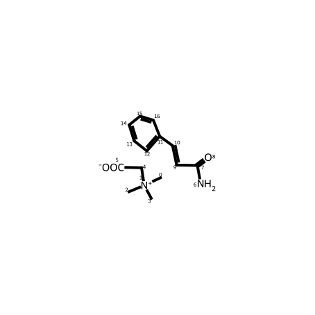 C[N+](C)(C)CC(=O)[O-].NC(=O)C=Cc1ccccc1